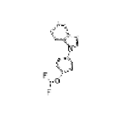 FC(F)Oc1ccc(-n2ccc3c[c]ccc32)cc1